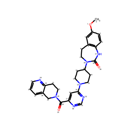 COc1ccc2c(c1)CCN(C1CCN(c3cc(C(=O)N4CCc5ncccc5C4)ncn3)CC1)C(=O)N2